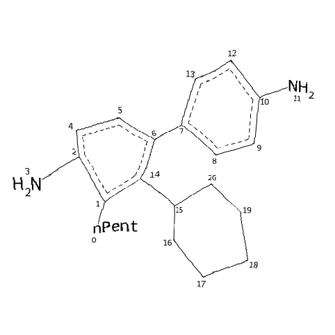 CCCCCc1c(N)ccc(-c2ccc(N)cc2)c1C1CCCCC1